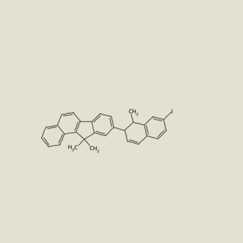 CC1c2cc(I)ccc2C=CC1c1ccc2c(c1)C(C)(C)c1c-2ccc2ccccc12